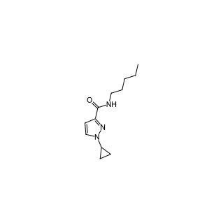 CCCCCNC(=O)c1ccn(C2CC2)n1